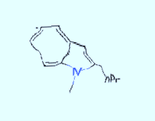 CCCc1cc2c[c]ccc2n1C